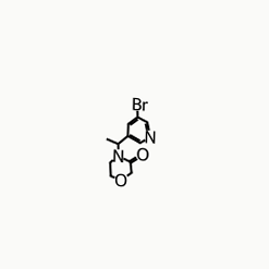 CC(c1cncc(Br)c1)N1CCOCC1=O